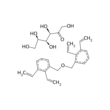 C=Cc1cccc(COCc2cccc(C=C)c2C=C)c1C=C.O=C(CO)[C@H](O)[C@@H](O)[C@H](O)CO